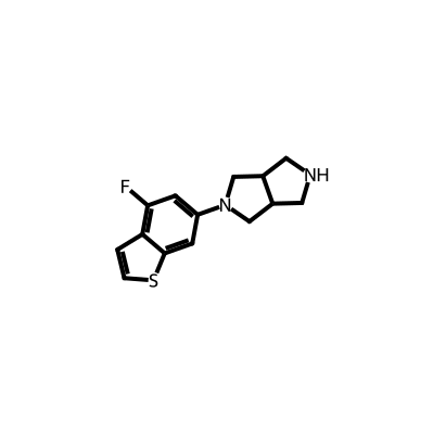 Fc1cc(N2CC3CNCC3C2)cc2sccc12